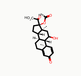 CCCC(=O)O[C@]1(C(=O)C(=O)O)CC[C@H]2[C@@H]3CCC4=CC(=O)C=C[C@]4(C)[C@H]3C(O)C[C@@]21C